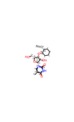 CO[C@@H]1CCCC[C@H]1O[C@H]1[C@@H](O)[C@H](n2cc(C)c(=O)[nH]c2=O)O[C@@H]1CO